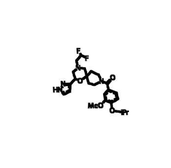 COc1cc(C(=O)N2CCC3(CC2)CN(CC(F)F)CC(c2cc[nH]n2)O3)ccc1OC(C)C